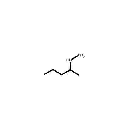 CCCC(C)NP